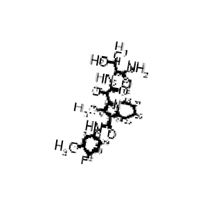 Cc1cc(NC(=O)c2c(C)c(C(=O)C(=O)NC(C(N)=O)[C@@H](C)O)n3c2CCCC3)ccc1F